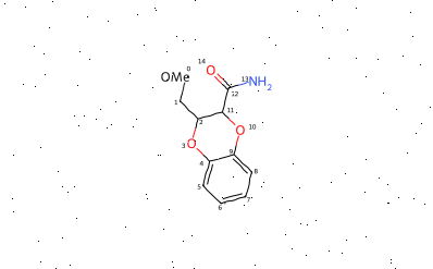 COCC1Oc2c[c]ccc2OC1C(N)=O